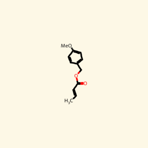 CC=CC(=O)OCc1ccc(OC)cc1